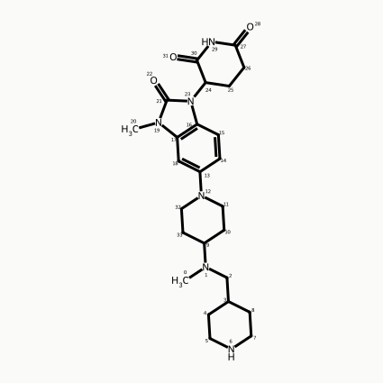 CN(CC1CCNCC1)C1CCN(c2ccc3c(c2)n(C)c(=O)n3C2CCC(=O)NC2=O)CC1